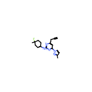 C#CCc1cc(-n2ccc(C)n2)nc(NC2CCC(C)(F)CC2)n1